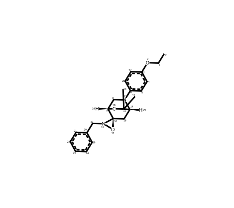 CCOc1ccc(N2C[C@@H]3CC(C)(C)[C@H]2C[C@@]32ON2Cc2ccccc2)cc1